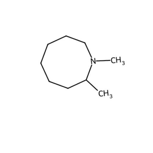 CC1CCCCCCN1C